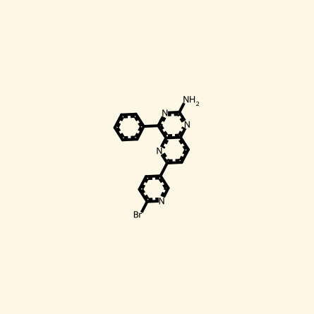 Nc1nc(-c2ccccc2)c2nc(-c3ccc(Br)nc3)ccc2n1